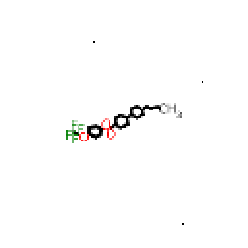 CCCCC1CCC(C2CCC(C(=O)Oc3ccc(OC(F)(F)C(F)F)cc3)CC2)CC1